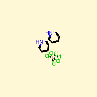 [Cl][Pt-2]([Cl])([Cl])([Cl])([Cl])[Cl].c1cc[nH+]cc1.c1cc[nH+]cc1